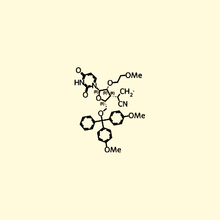 [CH2]C(C#N)[C@H]1[C@@H](OCCOC)[C@H](n2ccc(=O)[nH]c2=O)O[C@H]1COC(c1ccccc1)(c1ccc(OC)cc1)c1ccc(OC)cc1